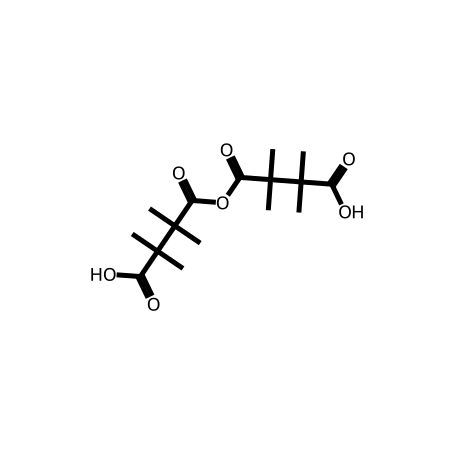 CC(C)(C(=O)O)C(C)(C)C(=O)OC(=O)C(C)(C)C(C)(C)C(=O)O